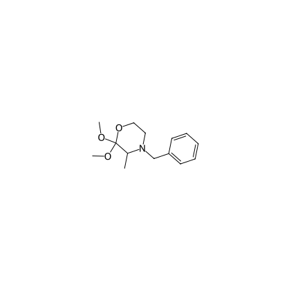 COC1(OC)OCCN(Cc2ccccc2)C1C